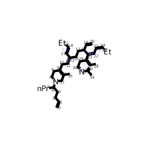 C=CCCC(CCC)N1CCC(C/C=C(\C=C\CC)CCC(C=C)C(=C\C=C/CC)/C(=C\C)C/C=N\C(=C)C)=C(C)C1